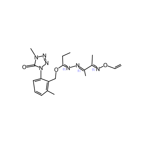 C=CO/N=C(C)/C(C)=N/N=C(\CC)OCc1c(C)cccc1-n1nnn(C)c1=O